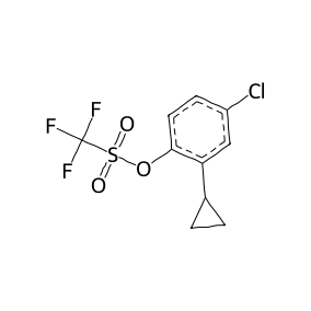 O=S(=O)(Oc1ccc(Cl)cc1C1CC1)C(F)(F)F